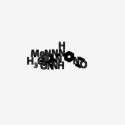 CNc1nc(Nc2ccc(N3CCOCC3)cc2)nc2[nH]nc(S(C)(=O)=O)c12